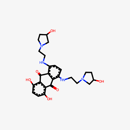 O=C1c2c(O)ccc(O)c2C(=O)c2c(NCCN3CCC(O)C3)ccc(NCCN3CCC(O)C3)c21